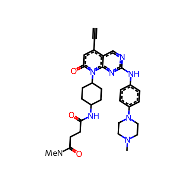 C#Cc1cc(=O)n(C2CCC(NC(=O)CCC(=O)NC)CC2)c2nc(Nc3ccc(N4CCN(C)CC4)cc3)ncc12